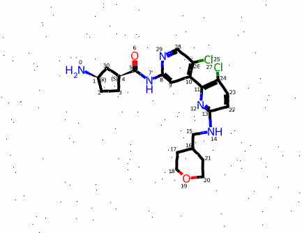 N[C@@H]1CC[C@H](C(=O)Nc2cc(-c3nc(NCC4CCOCC4)ccc3Cl)c(Cl)cn2)C1